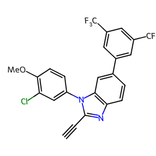 C#Cc1nc2ccc(-c3cc(C(F)(F)F)cc(C(F)(F)F)c3)cc2n1-c1ccc(OC)c(Cl)c1